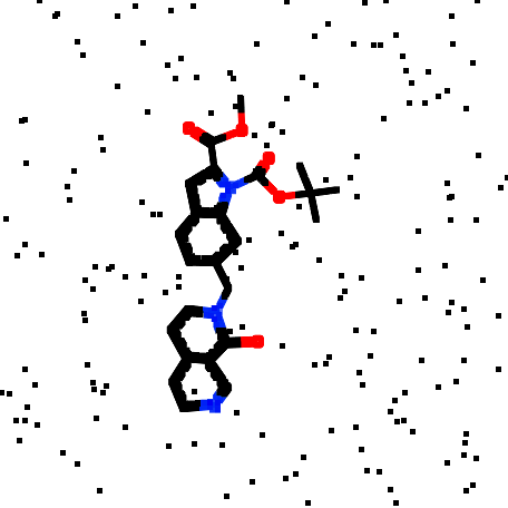 COC(=O)c1cc2ccc(Cn3ccc4ccncc4c3=O)cc2n1C(=O)OC(C)(C)C